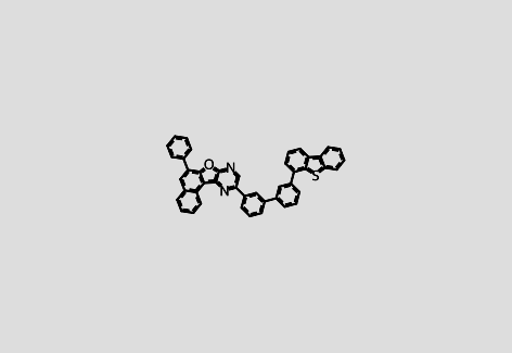 c1ccc(-c2cc3ccccc3c3c2oc2ncc(-c4cccc(-c5cccc(-c6cccc7c6sc6ccccc67)c5)c4)nc23)cc1